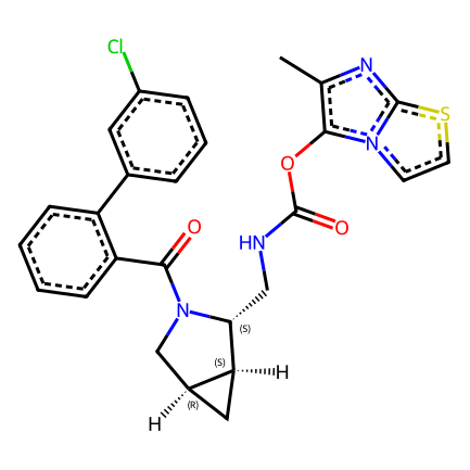 Cc1nc2sccn2c1OC(=O)NC[C@@H]1[C@H]2C[C@H]2CN1C(=O)c1ccccc1-c1cccc(Cl)c1